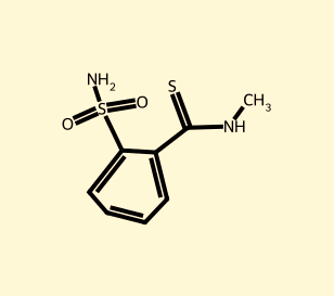 CNC(=S)c1ccccc1S(N)(=O)=O